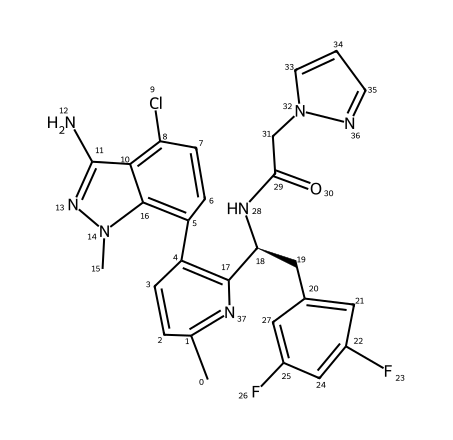 Cc1ccc(-c2ccc(Cl)c3c(N)nn(C)c23)c([C@H](Cc2cc(F)cc(F)c2)NC(=O)Cn2cccn2)n1